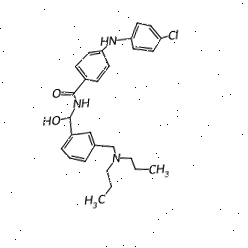 CCCN(CCC)Cc1cccc(C(O)NC(=O)c2ccc(Nc3ccc(Cl)cc3)cc2)c1